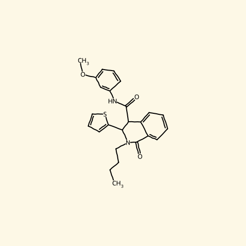 CCCCN1C(=O)c2ccccc2C(C(=O)Nc2cccc(OC)c2)C1c1cccs1